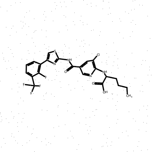 CCCCC(Nc1ncc(C(=O)Nc2nc(-c3cccc(C(F)(F)F)c3F)cs2)cc1Cl)C(=O)O